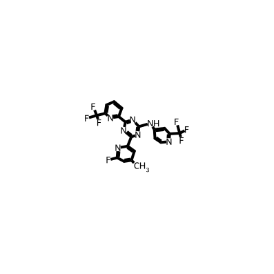 Cc1cc(F)nc(-c2nc(Nc3ccnc(C(F)(F)F)c3)nc(-c3cccc(C(F)(F)F)n3)n2)c1